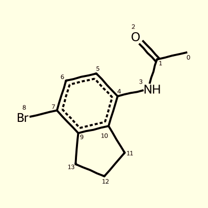 CC(=O)Nc1ccc(Br)c2c1CCC2